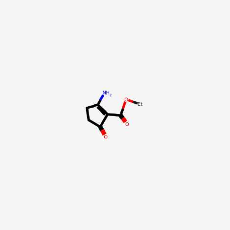 CCOC(=O)C1=C(N)CCC1=O